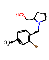 O=[N+]([O-])c1ccc(CN2CCCC2CO)c(Br)c1